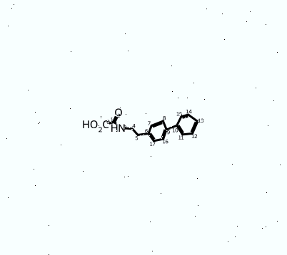 O=C(O)C(=O)NCCc1ccc(-c2ccccc2)cc1